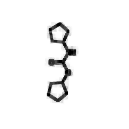 O=C(NC1CCCC1)OC1CCCC1